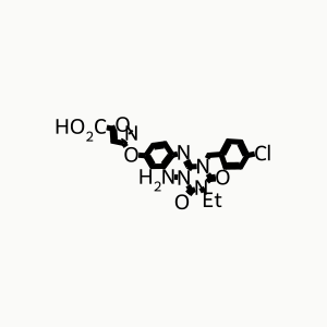 CCn1c(=O)n(N)/c(=N\c2ccc(Oc3cc(C(=O)O)on3)cc2)n(Cc2ccc(Cl)cc2)c1=O